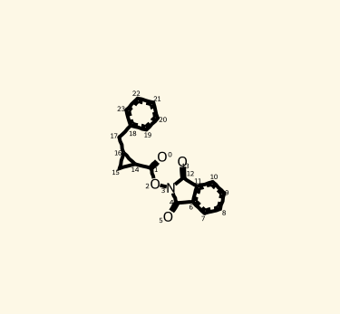 O=C(ON1C(=O)c2ccccc2C1=O)C1CC1Cc1ccccc1